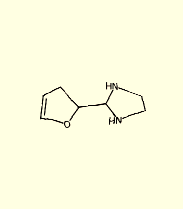 C1=COC(C2NCCN2)C1